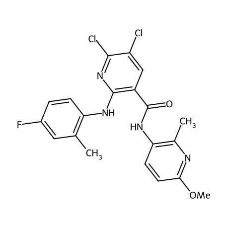 COc1ccc(NC(=O)c2cc(Cl)c(Cl)nc2Nc2ccc(F)cc2C)c(C)n1